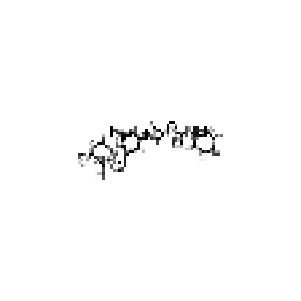 O=C1CC[C@@H](c2c(F)cc(N3CC(OC(=O)NC4CCCCC4)C3)cc2F)C(=O)N1